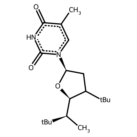 Cc1cn([C@H]2CC(C(C)(C)C)[C@@H]([C@@H](C)C(C)(C)C)O2)c(=O)[nH]c1=O